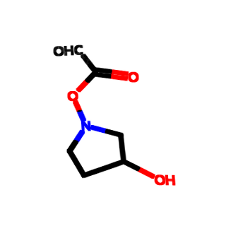 O=CC(=O)ON1CCC(O)C1